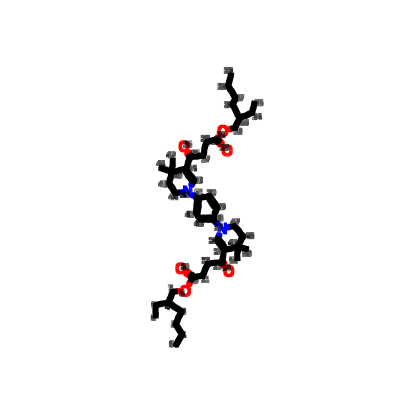 CCCCC(CC)COC(=O)CCC(=O)C1=CN(c2ccc(N3C=C(C(=O)CCC(=O)OCC(CC)CCCC)C(C)(C)CC3)cc2)CCC1(C)C